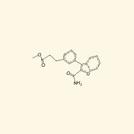 COC(=O)CCc1cccc(-c2c(C(N)=O)oc3ccccc23)c1